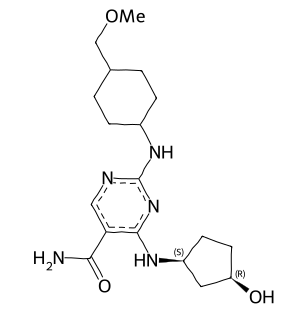 COCC1CCC(Nc2ncc(C(N)=O)c(N[C@H]3CC[C@@H](O)C3)n2)CC1